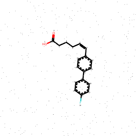 O=C(O)CCC/C=C\c1ccc(-c2ccc(F)cc2)cc1